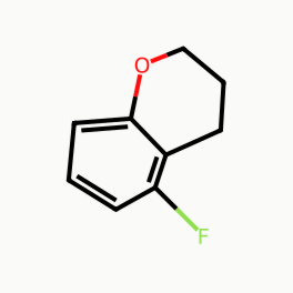 Fc1cccc2c1CCCO2